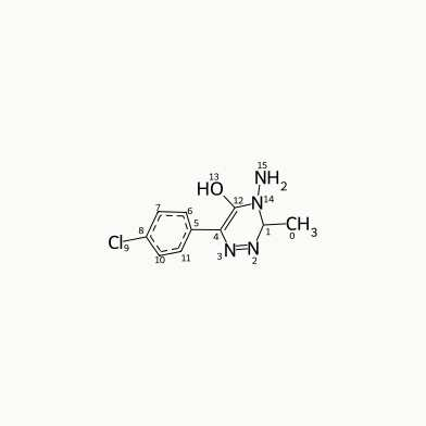 CC1N=NC(c2ccc(Cl)cc2)=C(O)N1N